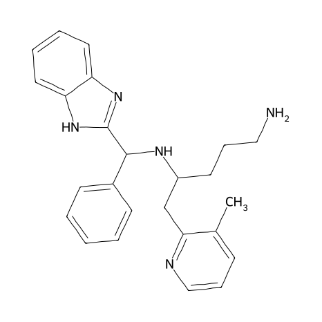 Cc1cccnc1CC(CCCN)NC(c1ccccc1)c1nc2ccccc2[nH]1